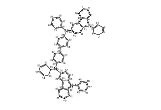 C1=CCCC(n2c3ccccc3c3cc(N(c4ccccc4)c4ccc(-c5ccc(N(c6ccc7c(c6)c6ccccc6n7-c6ccccc6)C6C=CC=CC6)cc5)cc4)ccc32)=C1